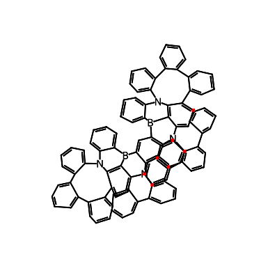 c1ccc(-c2cccc(-c3ccccc3)c2N2c3cc4c(cc3B3c5ccccc5-n5c6ccccc6c6ccccc6c6ccccc6c6ccc2c3c65)B2c3ccccc3-n3c5ccccc5c5ccccc5c5ccccc5c5ccc(c2c53)N4c2c(-c3ccccc3)cccc2-c2ccccc2)cc1